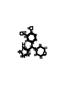 Clc1ccc(C(c2nnn[nH]2)N2CCOCC2)cc1Cl